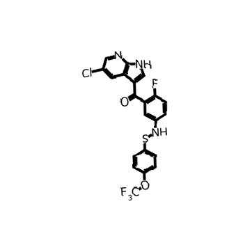 O=C(c1cc(NSc2ccc(OC(F)(F)F)cc2)ccc1F)c1c[nH]c2ncc(Cl)cc12